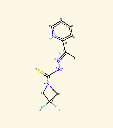 C/C(=N\NC(=S)N1CC(F)(F)C1)c1ccccn1